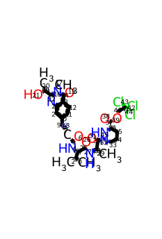 CC(C)[C@H](NC(=O)C/C=C/c1ccc2c(=O)n(C)c([C@@H](C)O)nc2c1)C(=O)N[C@@H](C)C(=O)N1CCC[C@@H](C(=O)OCC(Cl)(Cl)Cl)N1